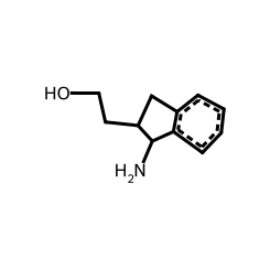 NC1c2ccccc2CC1CCO